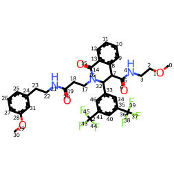 COCCNC(=O)C1c2ccccc2C(=O)N(CCC(=O)NCCc2cccc(OC)c2)C1c1cc(C(F)(F)F)cc(C(F)(F)F)c1